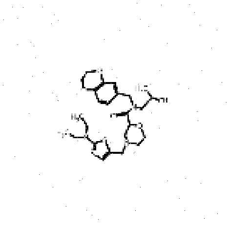 CCN(CC)c1ncc(CN2CCOC(C(=O)N(Cc3ccc4c(c3)OCCO4)CC(C)C)C2)s1